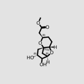 COC(=O)C[C@H]1CC[C@@H]2O[C@@H]3C[C@]2(C[C@@H](O)C3O)O1